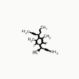 C#CC(C#CN)=c1c(F)c(C)c(=C(C#CC)C=CC)c(C)c1F